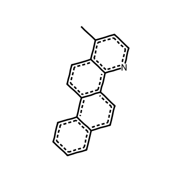 Cc1ccnc2c1ccc1c3ccccc3ccc12